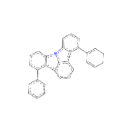 C1=CC(c2cccc3c2c2cccc4c5c(-c6ccccc6)cccc5n3c24)=CCC1